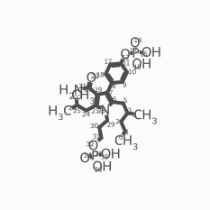 CCCC(C)Cc1c(-c2ccc(OP(=O)(O)O)cc2)c(C(N)=O)c(CC(C)C)n1CCCOP(=O)(O)O